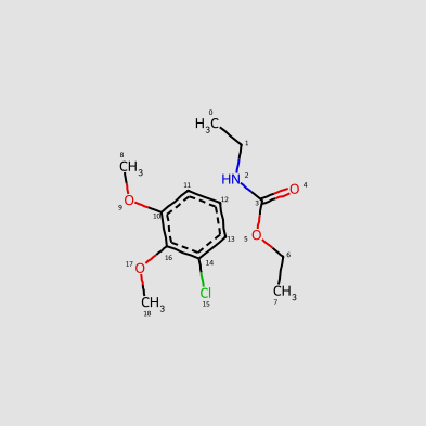 CCNC(=O)OCC.COc1cccc(Cl)c1OC